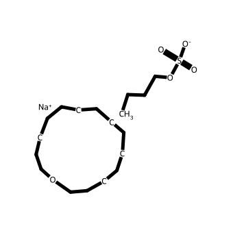 C1CCCCCCCOCCCCCC1.CCCCOS(=O)(=O)[O-].[Na+]